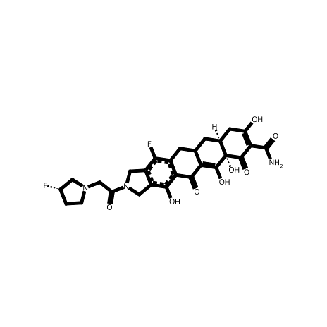 NC(=O)C1=C(O)C[C@@H]2CC3Cc4c(F)c5c(c(O)c4C(=O)C3=C(O)[C@]2(O)C1=O)CN(C(=O)CN1CC[C@H](F)C1)C5